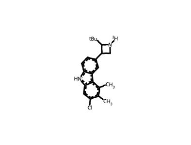 [2H]N1CC(c2ccc3[nH]c4cc(Cl)c(C)c(C)c4c3c2)C1C(C)(C)C